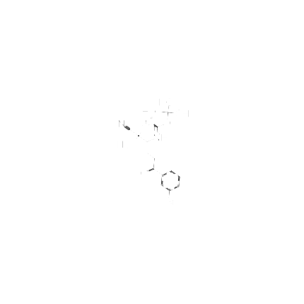 CC(C)(C)OC(=O)N[C@H](CCC(=O)c1cccc(Br)c1)C(C)(C)C#N